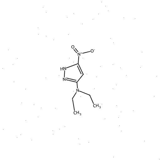 CCN(CC)c1cc([N+](=O)[O-])[nH]n1